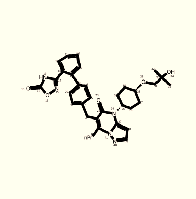 CCCc1c(Cc2ccc(-c3ccccc3-c3noc(=O)[nH]3)cc2)c(=O)n([C@H]2CC[C@H](OCC(C)(C)O)CC2)c2ccnn12